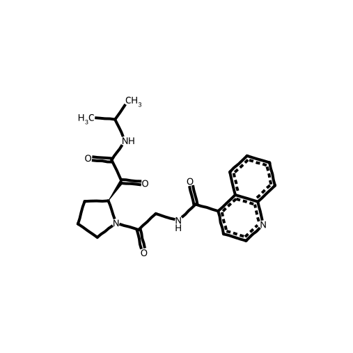 CC(C)NC(=O)C(=O)[C@@H]1CCCN1C(=O)CNC(=O)c1ccnc2ccccc12